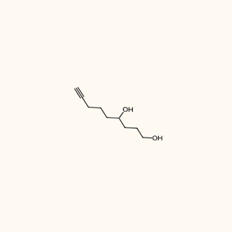 C#CCCCC(O)CCCO